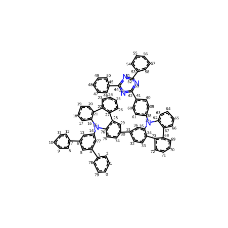 c1ccc(-c2cc(-c3ccccc3)cc(N3c4ccccc4-c4ccccc4-c4cc(-c5ccc6c(c5)N(c5ccc(-c7nc(-c8ccccc8)nc(-c8ccccc8)n7)cc5)c5ccccc5-c5ccccc5-6)ccc43)c2)cc1